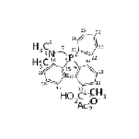 CC(=O)O.CC(=O)[O-].CN(C)C[P+](c1ccccc1)(c1ccccc1)c1ccccc1